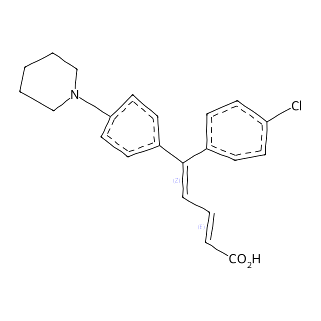 O=C(O)/C=C/C=C(\c1ccc(Cl)cc1)c1ccc(N2CCCCC2)cc1